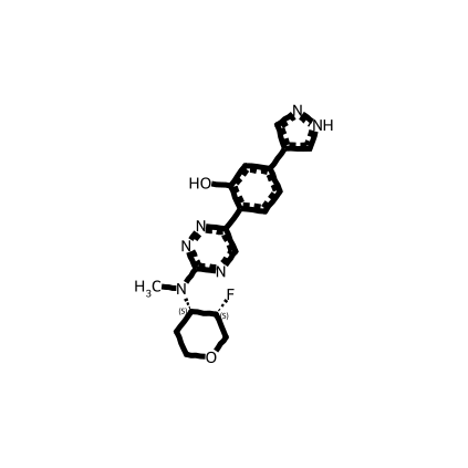 CN(c1ncc(-c2ccc(-c3cn[nH]c3)cc2O)nn1)[C@H]1CCOC[C@H]1F